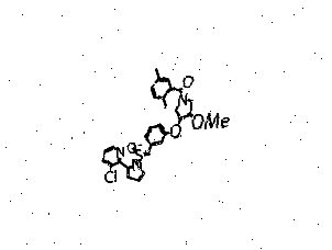 COC1CN(C(=O)c2cc(C)ccc2C)CC1Oc1cccc(C[S+]([O-])N2CCCC2c2ncccc2Cl)c1